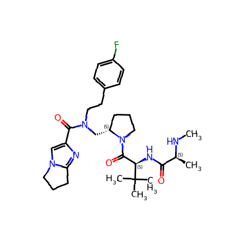 CN[C@@H](C)C(=O)N[C@H](C(=O)N1CCC[C@H]1CN(CCc1ccc(F)cc1)C(=O)c1cn2c(n1)CCC2)C(C)(C)C